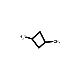 CC1CC(N)C1